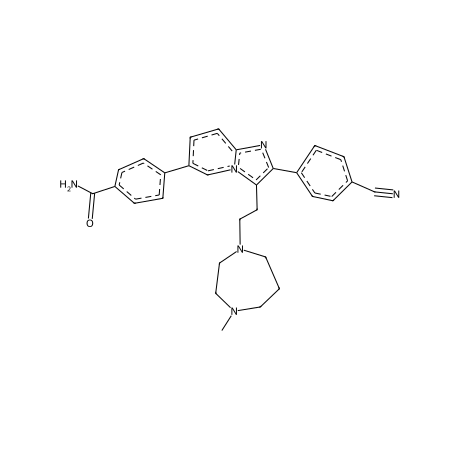 CN1CCCN(CCc2c(-c3ccc(C#N)cc3)nc3ccc(-c4ccc(C(N)=O)cc4)cn23)CC1